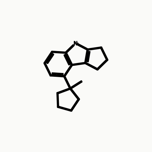 CC1(c2cccc3c2C2=C(CCC2)[N]3)CCCC1